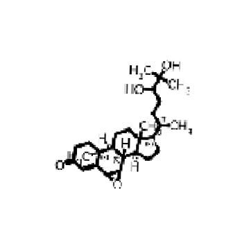 C[C@H](CCC(O)C(C)(C)O)[C@H]1CC[C@H]2[C@@H]3C4OC4C4=CC(=O)CC[C@]4(C)[C@H]3CC[C@]12C